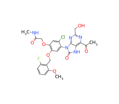 CNC(=O)COc1cc(Cl)c(-n2c(=O)[nH]c3c(C(C)=O)nc(CO)nc32)cc1OCc1c(F)cccc1OC